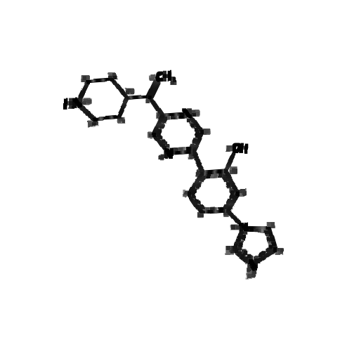 C=C(c1cnc(-c2ccc(-n3ccnc3)cc2O)cn1)C1CCNCC1